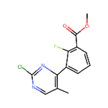 COC(=O)c1cccc(-c2nc(Cl)ncc2C)c1F